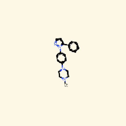 CCN1CCN(c2ccc(-n3nccc3-c3ccccc3)cc2)CC1